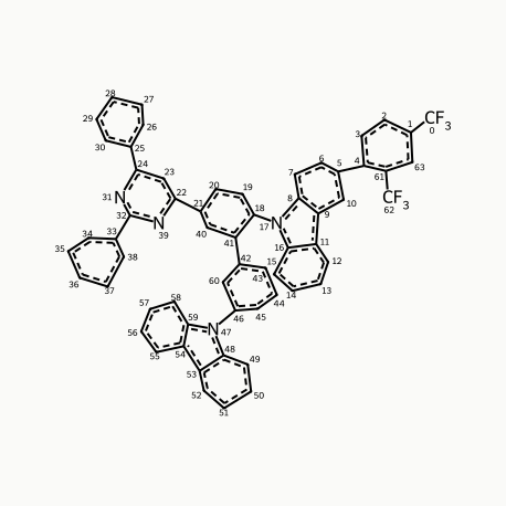 FC(F)(F)c1ccc(-c2ccc3c(c2)c2ccccc2n3-c2ccc(-c3cc(-c4ccccc4)nc(-c4ccccc4)n3)cc2-c2cccc(-n3c4ccccc4c4ccccc43)c2)c(C(F)(F)F)c1